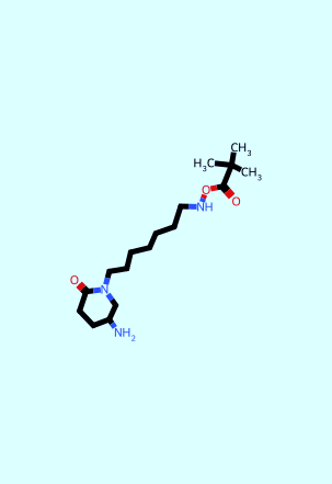 CC(C)(C)C(=O)ONCCCCCCCN1CC(N)CCC1=O